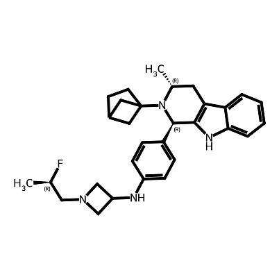 C[C@@H]1Cc2c([nH]c3ccccc23)[C@@H](c2ccc(NC3CN(C[C@@H](C)F)C3)cc2)N1C12CCC(C1)C2